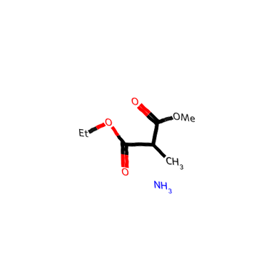 CCOC(=O)C(C)C(=O)OC.N